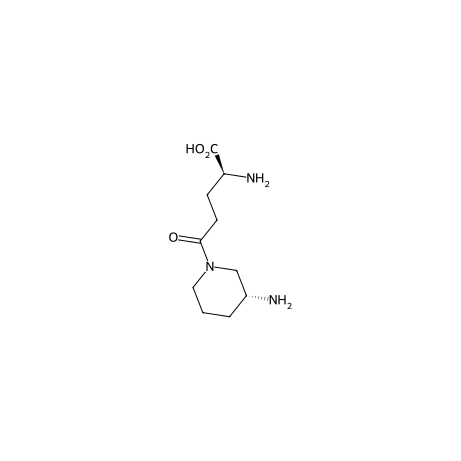 N[C@@H]1CCCN(C(=O)CC[C@H](N)C(=O)O)C1